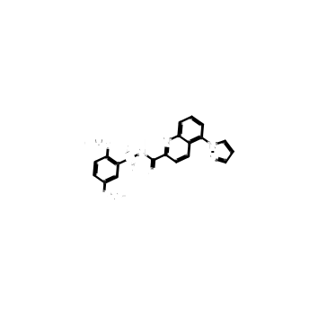 COc1ccc(OC)c(S(=O)(=O)NC(=O)c2ccc3c(-n4cccn4)cccc3n2)c1